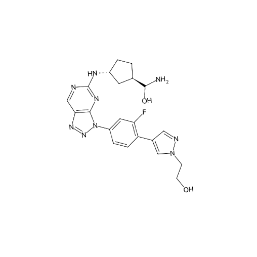 NC(O)[C@@H]1CC[C@@H](Nc2ncc3nnn(-c4ccc(-c5cnn(CCO)c5)c(F)c4)c3n2)C1